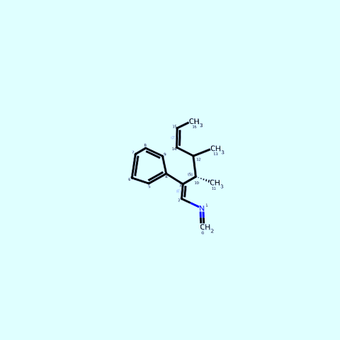 C=N/C=C(/c1ccccc1)[C@@H](C)C(C)/C=C\C